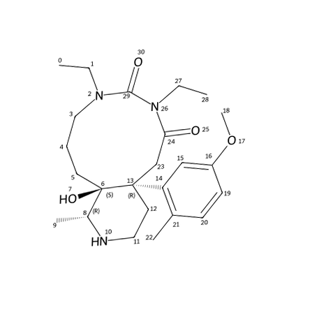 CCN1CCC[C@@]2(O)[C@@H](C)NCC[C@]2(c2cc(OC)ccc2C)CC(=O)N(CC)C1=O